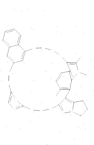 CCOC(=O)c1c2c3ccc(Cl)c(c3n1C)-c1c(nn3c1CCC3)CCCc1ncc(s1)CSc1cc(c3ccccc3c1)OCCC2